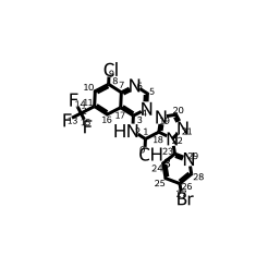 CC(Nc1ncnc2c(Cl)cc(C(F)(F)F)cc12)c1ncnn1-c1ccc(Br)cn1